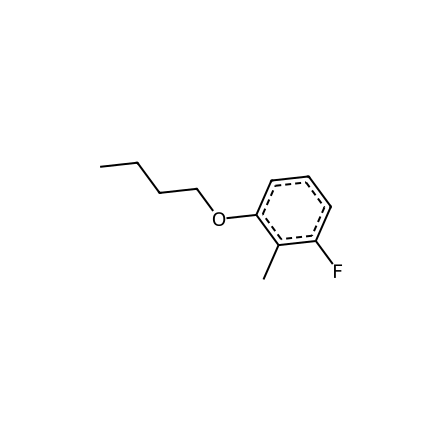 CCCCOc1cccc(F)c1C